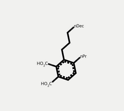 CCCCCCCCCCCCCc1c(CCC)ccc(C(=O)O)c1C(=O)O